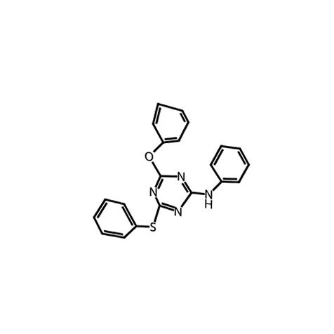 c1ccc(Nc2nc(Oc3ccccc3)nc(Sc3ccccc3)n2)cc1